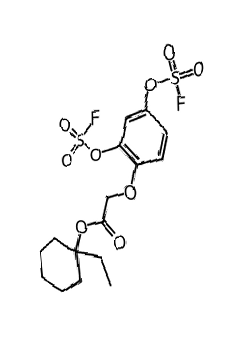 CCC1(OC(=O)COc2ccc(OS(=O)(=O)F)cc2OS(=O)(=O)F)CCCCC1